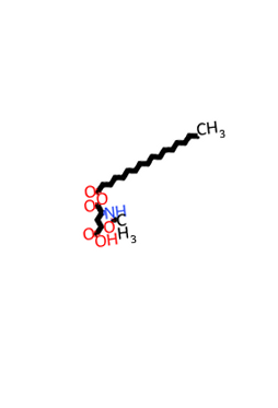 CCCCCCCCCCCCCCCCCC(=O)OC(=O)C(CCC(=O)O)NC(C)=O